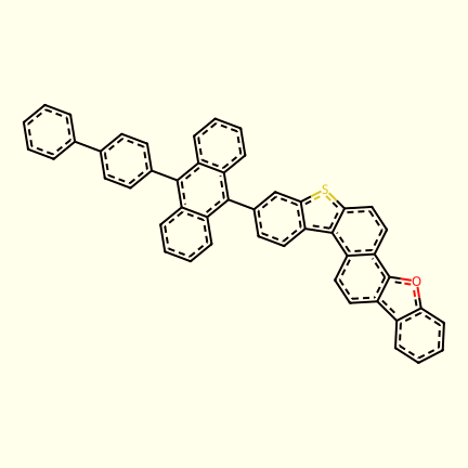 c1ccc(-c2ccc(-c3c4ccccc4c(-c4ccc5c(c4)sc4ccc6c(ccc7c8ccccc8oc76)c45)c4ccccc34)cc2)cc1